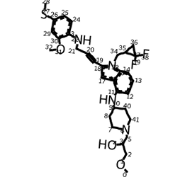 COCC(O)CN1CCC(Nc2cccc3c2cc(C#CCNc2ccc(SC)cc2OC)n3CC2CC2(F)F)CC1